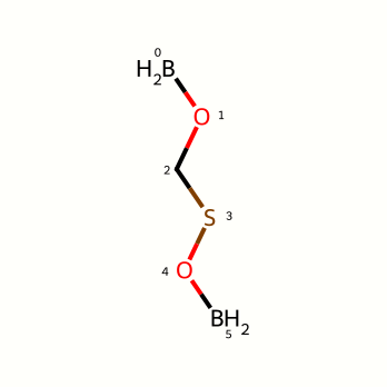 BOCSOB